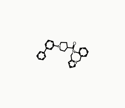 O=C(C1CCN(c2cccc(-c3ccccc3)c2)CC1)N1Cc2cccn2Cc2ccccc21